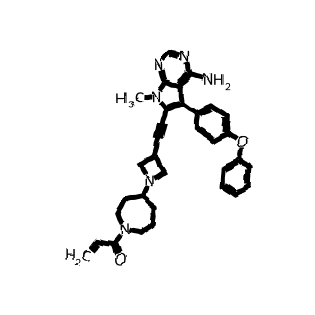 C=CC(=O)N1CCCC(N2CC(C#Cc3c(-c4ccc(Oc5ccccc5)cc4)c4c(N)ncnc4n3C)C2)CC1